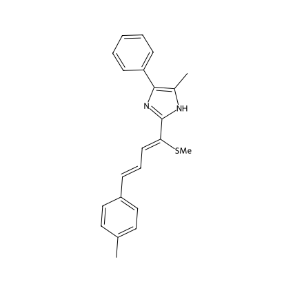 CS/C(=C\C=C\c1ccc(C)cc1)c1nc(-c2ccccc2)c(C)[nH]1